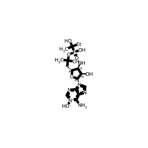 CCC(C)(O)P(=O)(O)OC(C)(C)C[C@H]1O[C@@H](n2cnc3c(N)[n+](O)cnc32)[C@H](O)[C@@H]1O